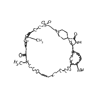 CCCCc1ccc2cc1OCCCC=COCCN(C)C(=O)c1ccc(c(C)c1)CCS(=O)(=O)N1CCC3(CC1)N=C2NC3=O